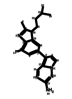 CC1=Nc2c(F)cc(-c3ccn4nc(N)ncc34)cc2C1CCC(C)C